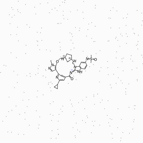 Cn1ncc2c1OC[C@H]1CC[C@H](C1)CN1/C(=N/C(=O)c3cc-2nc(C2CC2)c3)Nc2ccc(N=S(C)(C)=O)cc21